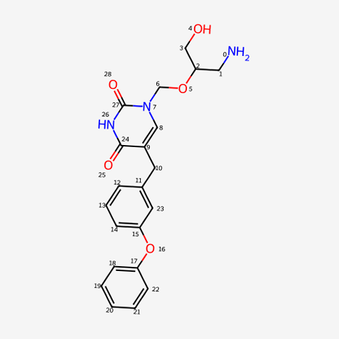 NCC(CO)OCn1cc(Cc2cccc(Oc3ccccc3)c2)c(=O)[nH]c1=O